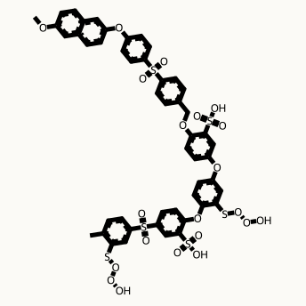 COc1ccc2cc(Oc3ccc(S(=O)(=O)c4ccc(COc5ccc(Oc6ccc(Oc7ccc(S(=O)(=O)c8ccc(C)c(SOOO)c8)cc7S(=O)(=O)O)c(SOOO)c6)cc5S(=O)(=O)O)cc4)cc3)ccc2c1